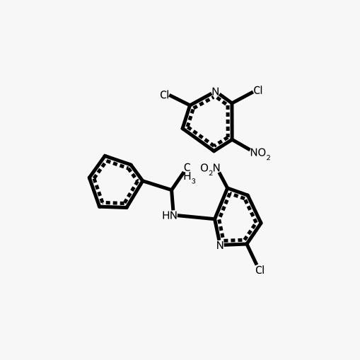 CC(Nc1nc(Cl)ccc1[N+](=O)[O-])c1ccccc1.O=[N+]([O-])c1ccc(Cl)nc1Cl